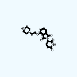 O=C1CCC(N2C(=O)c3cccc(OCCN4CCNCC4)c3C2=O)C(=O)N1